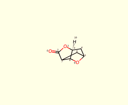 O=C1O[C@H]2CC3CC1C2O3